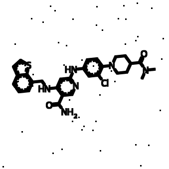 CN(C)C(=O)C1CCN(c2ccc(Nc3cc(NCc4cccc5ccsc45)c(C(N)=O)cn3)cc2Cl)CC1